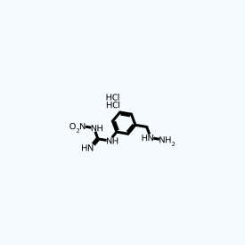 Cl.Cl.N=C(Nc1cccc(CNN)c1)N[N+](=O)[O-]